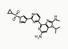 CNc1nc2c(-c3ccnc(-c4cnn(S(=O)(=O)C5CC5)c4)n3)nc(N)cc2n1C(C)C